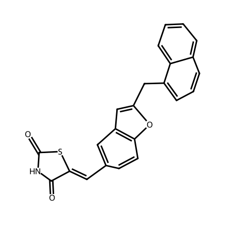 O=C1NC(=O)C(=Cc2ccc3oc(Cc4cccc5ccccc45)cc3c2)S1